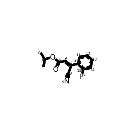 CC(C)OC(=O)C=C(C#N)c1ccccc1F